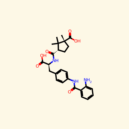 CC1(C)[C@@H](C(=O)N[C@@H](Cc2ccc(NC(=O)c3ccccc3N)cc2)C(=O)O)CC[C@@]1(C)C(=O)O